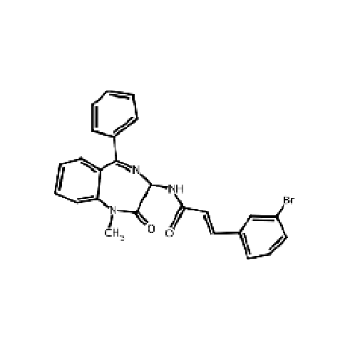 CN1C(=O)[C@H](NC(=O)/C=C/c2cccc(Br)c2)N=C(c2ccccc2)c2ccccc21